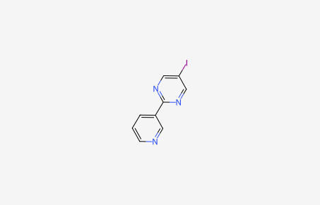 Ic1cnc(-c2cccnc2)nc1